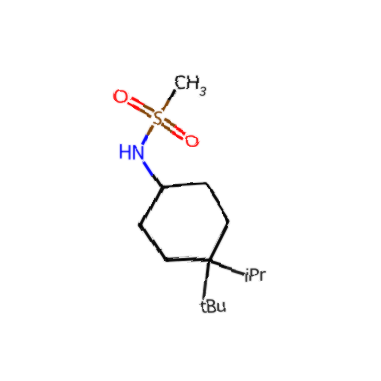 CC(C)C1(C(C)(C)C)CCC(NS(C)(=O)=O)CC1